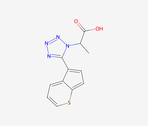 CC(C(=O)O)n1nnnc1-c1ccc2scccc1-2